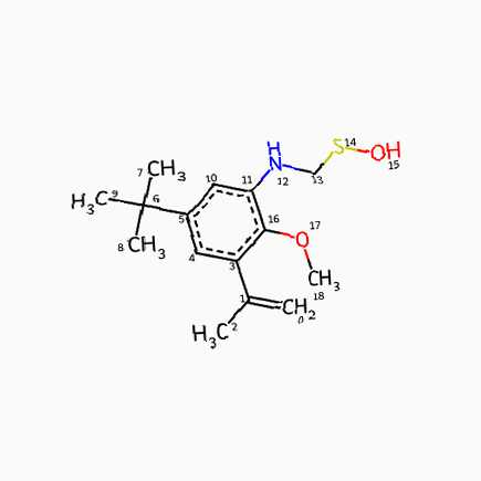 C=C(C)c1cc(C(C)(C)C)cc(NCSO)c1OC